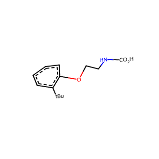 CC(C)(C)c1ccccc1OCCNC(=O)O